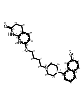 CC(=O)c1ccc2cccc(N3CCN(CCCCOc4ccc5c(n4)NC(=O)CC5)CC3)c2c1